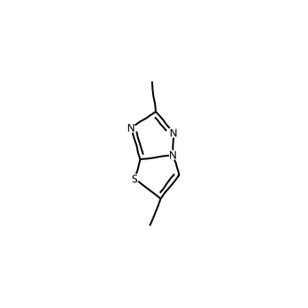 Cc1nc2sc(C)cn2n1